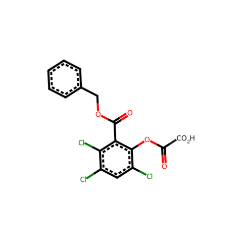 O=C(O)C(=O)Oc1c(Cl)cc(Cl)c(Cl)c1C(=O)OCc1ccccc1